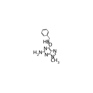 Cn1cnc2c(OBCc3ccccc3)nc(N)nc21